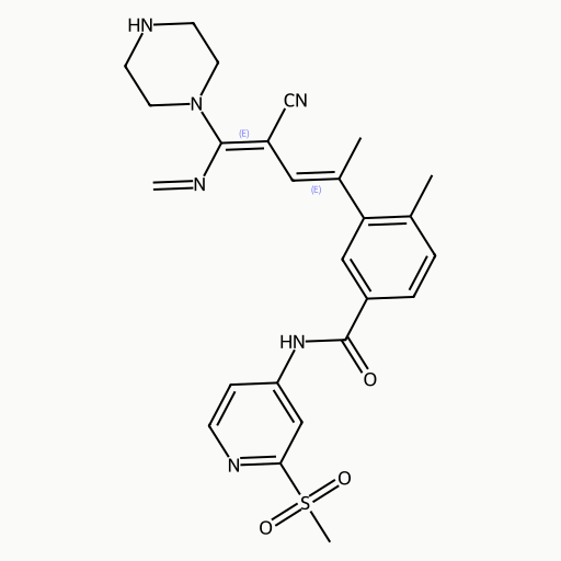 C=N/C(=C(C#N)\C=C(/C)c1cc(C(=O)Nc2ccnc(S(C)(=O)=O)c2)ccc1C)N1CCNCC1